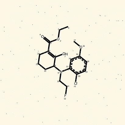 CCOC(=O)C1=C(O)C(N(CCF)c2cc(OC)ccc2Cl)CCC1